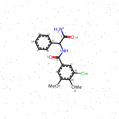 COc1cc(C(=O)NC(C(N)=O)c2ccccc2)cc(Cl)c1OC